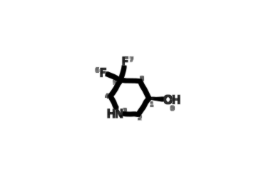 O[C@H]1CNCC(F)(F)C1